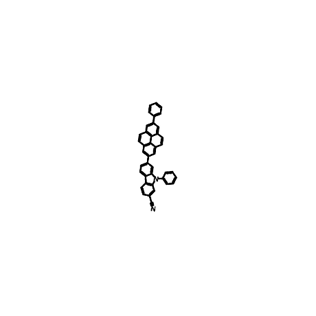 N#Cc1ccc2c3ccc(-c4cc5ccc6cc(-c7ccccc7)cc7ccc(c4)c5c67)cc3n(-c3ccccc3)c2c1